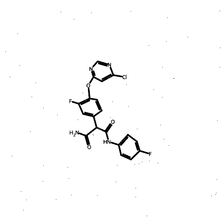 NC(=O)C(C(=O)Nc1ccc(F)cc1)c1ccc(Oc2cc(Cl)ncn2)c(F)c1